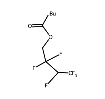 CCC(C)C(=O)OCC(F)(F)C(F)C(F)(F)F